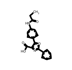 CCC(=O)Nc1ccc(-c2oc(-c3ccccc3)nc2C(=O)O)cc1